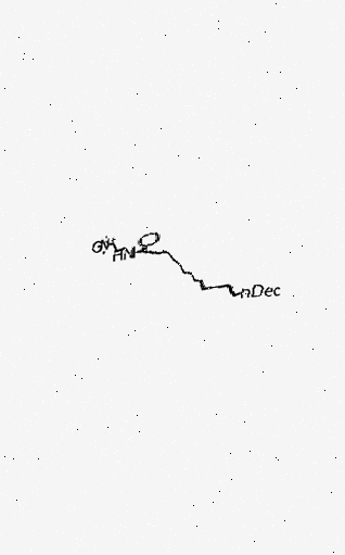 CCCCCCCCCCCCCCCCCCCCCC(=O)NCCC[N+](C)(C)[O-]